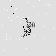 CC(C)SCC1CC(=O)c2c(Nc3ccccc3)c(-c3ccnc(NC(=O)c4ccc(Cl)cc4)c3)n(N)c2C1